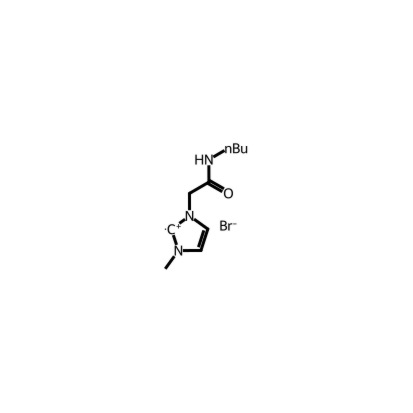 CCCCNC(=O)CN1[C+]N(C)C=C1.[Br-]